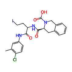 Cc1cc(NC(=O)C(CCI)NC(=O)[C@@H]2Cc3ccccc3CN2C(=O)O)ccc1Cl